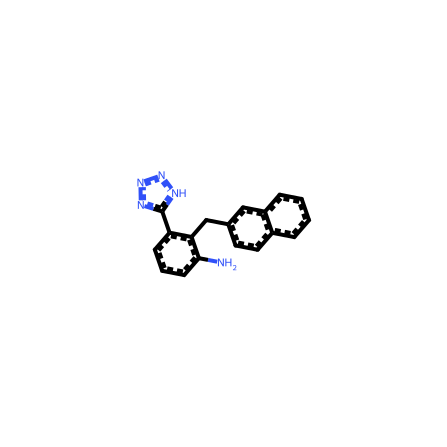 Nc1cccc(-c2nnn[nH]2)c1Cc1ccc2ccccc2c1